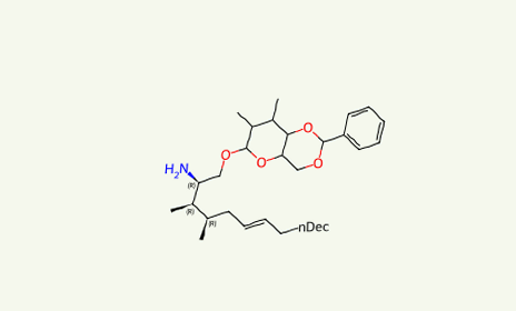 CCCCCCCCCCCC=CC[C@@H](C)[C@@H](C)[C@@H](N)COC1OC2COC(c3ccccc3)OC2C(C)C1C